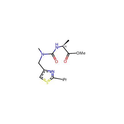 COC(=O)[C@H](C)NC(=O)N(C)Cc1csc(C(C)C)n1